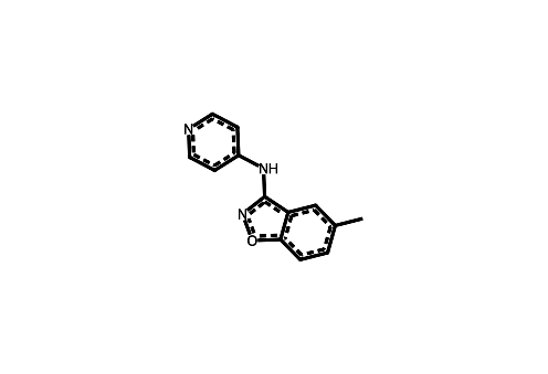 Cc1ccc2onc(Nc3ccncc3)c2c1